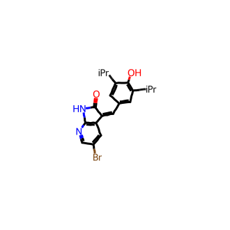 CC(C)c1cc(C=C2C(=O)Nc3ncc(Br)cc32)cc(C(C)C)c1O